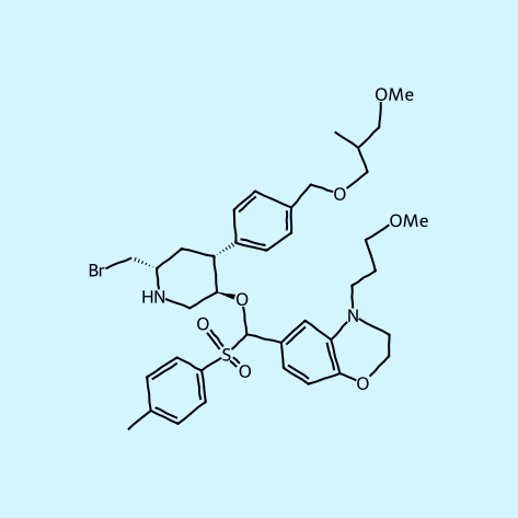 COCCCN1CCOc2ccc(C(O[C@H]3CN[C@H](CBr)C[C@@H]3c3ccc(COCC(C)COC)cc3)S(=O)(=O)c3ccc(C)cc3)cc21